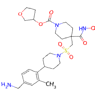 Cc1cc(CN)ccc1C1CCN(S(=O)(=O)CC2(C(=O)NO)CCN(C(=O)OC3CCOC3)CC2)CC1